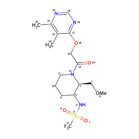 COC[C@H]1C(NS(=O)(=O)C(F)(F)F)CCCN1C(=O)COc1ncnc(C)c1C